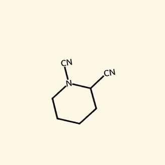 N#CC1CCCCN1C#N